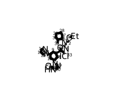 CCOCN(c1ncc(-c2cc(-n3cccn3)cc(-n3nc[nH]c3=O)c2)o1)c1ccccc1C.Cl